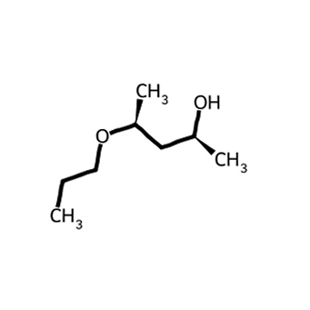 CCCO[C@@H](C)C[C@H](C)O